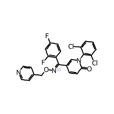 O=c1ccc(/C(=N/OCc2ccncc2)c2ccc(F)cc2F)cn1-c1c(Cl)cccc1Cl